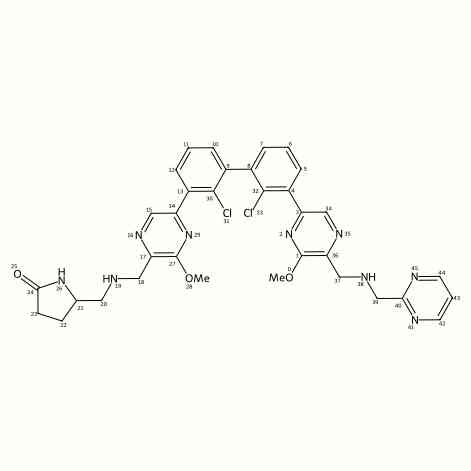 COc1nc(-c2cccc(-c3cccc(-c4cnc(CNCC5CCC(=O)N5)c(OC)n4)c3Cl)c2Cl)cnc1CNCc1ncccn1